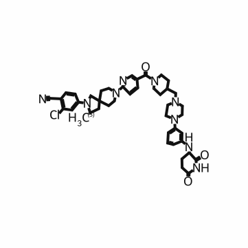 C[C@H]1CC2(CCN(c3ccc(C(=O)N4CCC(CN5CCN(c6cccc(NC7CCC(=O)NC7=O)c6)CC5)CC4)cn3)CC2)CN1c1ccc(C#N)c(Cl)c1